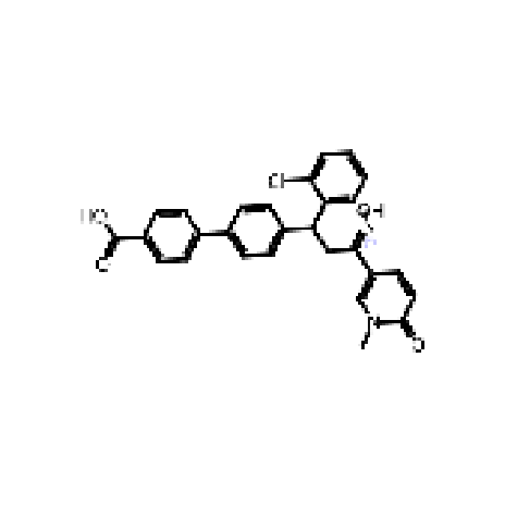 Cn1cc(/C(CC(c2ccc(-c3ccc(C(=O)O)cc3)cc2)c2ccccc2Cl)=N/O)ccc1=O